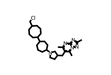 Cc1nc2nc(C)c(CC3CCN(C4CCCC(C5CCCC(CCl)CCC5)CC4)C3)c(C)n2n1